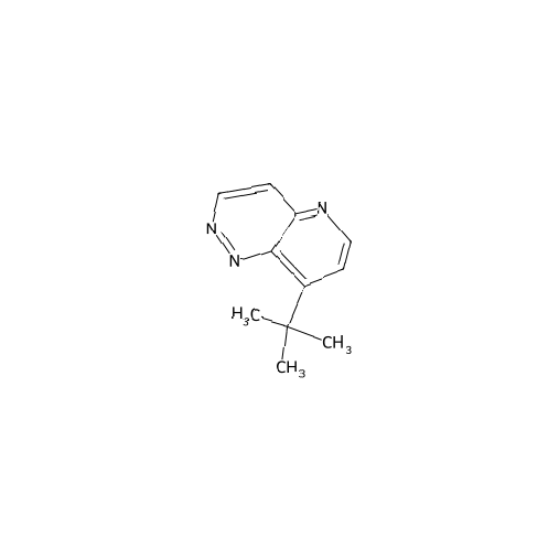 CC(C)(C)c1ccnc2ccnnc12